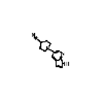 N#CC1CCN(c2cnc3[nH]ccc3c2)CC1